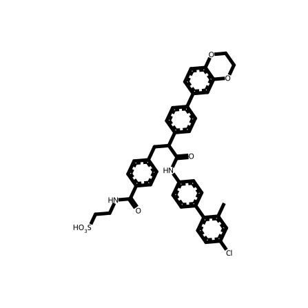 Cc1cc(Cl)ccc1-c1ccc(NC(=O)C(Cc2ccc(C(=O)NCCS(=O)(=O)O)cc2)c2ccc(-c3ccc4c(c3)OCCO4)cc2)cc1